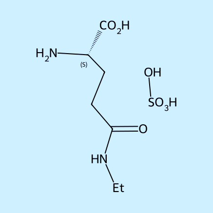 CCNC(=O)CC[C@H](N)C(=O)O.O=S(=O)(O)O